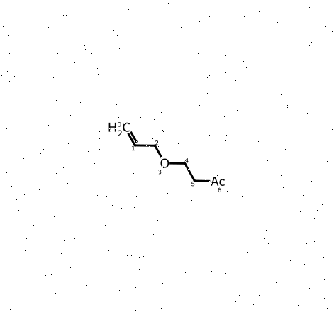 C=CCOCCC(C)=O